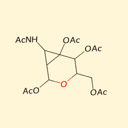 CC(=O)NC1C2C(OC(C)=O)OC(COC(C)=O)C(OC(C)=O)C12OC(C)=O